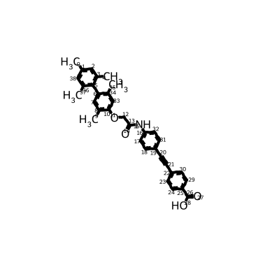 Cc1cc(C)c(-c2cc(C)c(OCC(=O)Nc3ccc(C#Cc4ccc(C(=O)O)cc4)cc3)cc2C)c(C)c1